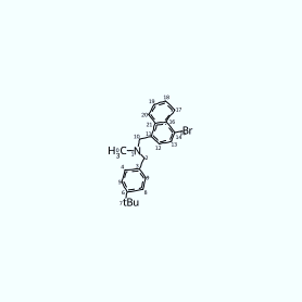 CN(Cc1ccc(C(C)(C)C)cc1)Cc1ccc(Br)c2ccccc12